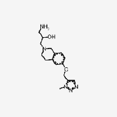 Cn1nncc1COc1ccc2c(c1)CCN(CC(O)CN)C2